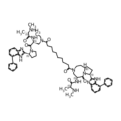 CCN(C[C@H](NC(=O)[C@H](C)NC)C(=O)N1CCC[C@H]1c1nc2cccc(-c3ccccc3)c2[nH]1)C(=O)CCCCCCCCC(=O)N1CC[C@H]2CC[C@@H](c3nc4cccc(-c5ccccc5)c4[nH]3)N2C(=O)[C@@H](NC(=O)[C@H](C)NC)C1